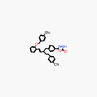 CC(C)(C)c1ccc(COc2ccccc2/C=C/C(CCc2ccc(C#N)cc2)Cc2ccc(-c3n[nH]c(=O)o3)cc2)cc1